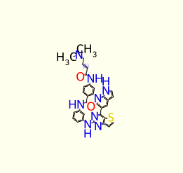 CN(C)C/C=C/C(=O)Nc1ccc(C(=O)Nc2cccc(Nc3nc(-c4cnc5[nH]ccc5c4)c4sccc4n3)c2)cc1